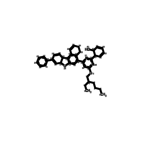 CCCCC(CC)COc1cc(-c2cc3c(c4c2CCC=C4)C2C=CC(c4ccccc4)=CC2O3)nc(C2C=CC=CC2O)n1